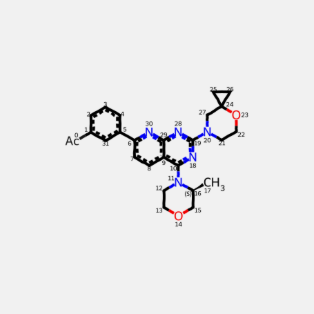 CC(=O)c1cccc(-c2ccc3c(N4CCOC[C@@H]4C)nc(N4CCOC5(CC5)C4)nc3n2)c1